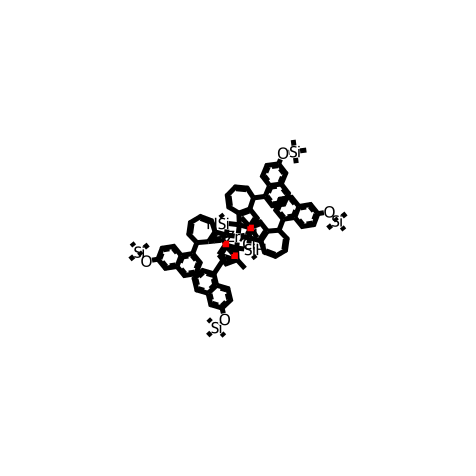 CC1=CC2=C(C=CC=CC2c2cccc3cc(O[Si](C)(C)C)ccc23)[C]12[SiH](C)[C]1(C(C)=CC3=C1C=CC=CC3c1cccc3cc(O[Si](C)(C)C)ccc13)[Zr]21([Cl])([Cl])[C]2(C(C)=CC3=C2C=CC=CC3c2cccc3cc(O[Si](C)(C)C)ccc23)[SiH](C)[C]12C(C)=CC1=C2C=CC=CC1c1cccc2cc(O[Si](C)(C)C)ccc12